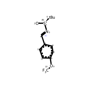 CC(C)(C)[S@+]([O-])/N=C/c1ccc(OC(F)(F)F)cc1